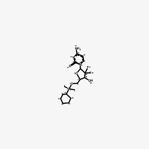 C[Si](C)(OCC1OC(n2ccc(N)nc2=O)C(F)(F)C1O)C1CCCCC1